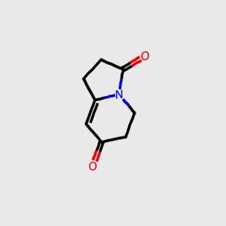 O=C1C=C2CCC(=O)N2CC1